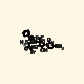 CC(C)OC(=O)[C@H](C)NP(=O)(OC[C@@]1(C(F)F)O[C@@H](n2ccc(N)nc2=O)[C@@H](O)[C@@H]1O)Oc1ccccc1